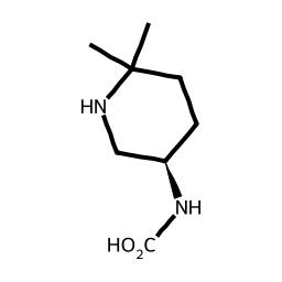 CC1(C)CC[C@@H](NC(=O)O)CN1